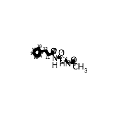 CC(=O)NCCC(=O)NC(=O)/C=C/c1ccccc1